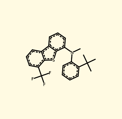 CN(c1ccccc1C(C)(C)C)c1cccc2c1sc1c(C(F)(F)F)cccc12